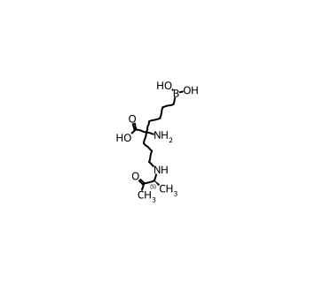 CC(=O)[C@H](C)NCCCC(N)(CCCCB(O)O)C(=O)O